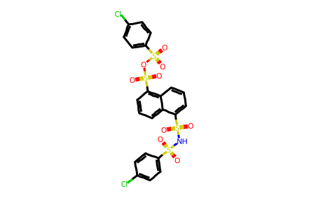 O=S(=O)(NS(=O)(=O)c1cccc2c(S(=O)(=O)OS(=O)(=O)c3ccc(Cl)cc3)cccc12)c1ccc(Cl)cc1